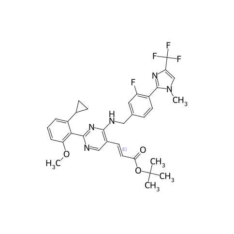 COc1cccc(C2CC2)c1-c1ncc(/C=C/C(=O)OC(C)(C)C)c(NCc2ccc(-c3nc(C(F)(F)F)cn3C)c(F)c2)n1